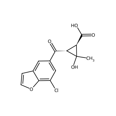 CC1(O)[C@H](C(=O)O)[C@H]1C(=O)c1cc(Cl)c2occc2c1